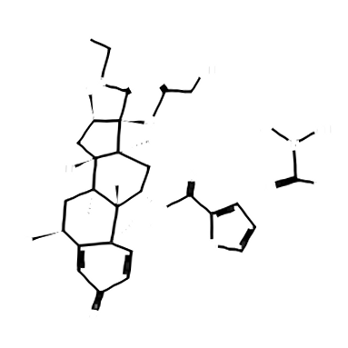 CC(=O)N(C)C.CCC(=O)O[C@]1(C(=O)SCF)[C@H](C)C[C@H]2[C@@H]3C[C@H](F)C4=CC(=O)C=C[C@]4(C)[C@@]3(F)[C@@H](OC(=O)c3ccco3)C[C@@]21C